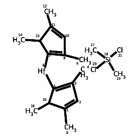 CC1=CC(C)=[C]([Hf][C]2=C(C)C=C(C)C2C)C1C.C[Si](C)(Cl)Cl